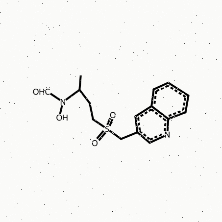 CC(CCS(=O)(=O)Cc1cnc2ccccc2c1)N(O)C=O